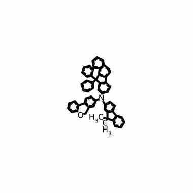 CC1(C)c2ccccc2-c2ccc(N(c3ccc4c(c3)COc3ccccc3-4)c3ccc4c(c3)C(c3ccccc3)(c3ccccc3)c3c-4ccc4ccccc34)cc21